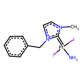 Cn1ccn(Cc2ccccc2)[c]1=[Pt]([NH2])([I])[I]